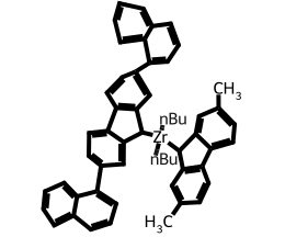 CCC[CH2][Zr]([CH2]CCC)([CH]1c2cc(C)ccc2-c2ccc(C)cc21)[CH]1c2cc(-c3cccc4ccccc34)ccc2-c2ccc(-c3cccc4ccccc34)cc21